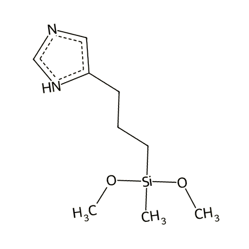 CO[Si](C)(CCCc1cnc[nH]1)OC